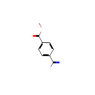 COC(=O)c1ccc(C(=N)N)cc1